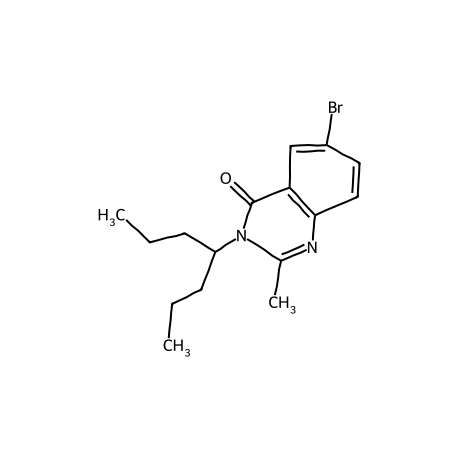 CCCC(CCC)n1c(C)nc2ccc(Br)cc2c1=O